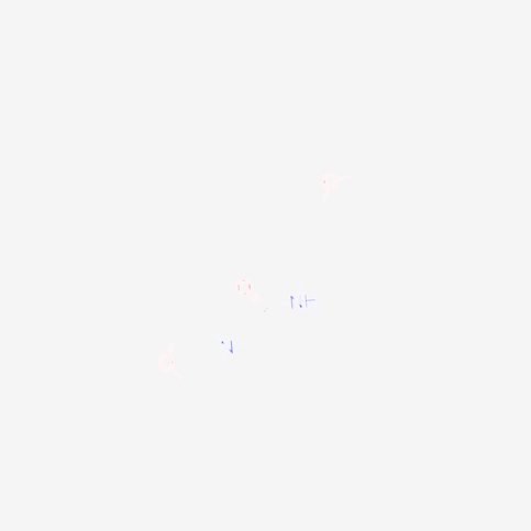 CCOc1ccc(NC(=O)CN2CCOCC2)cc1C(C)C